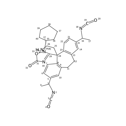 CC(N=C=O)c1ccc2c(c1)CCc1cc(C(C)N=C=O)ccc1C2(C[C@@H](C)N)c1nc(=O)on1C1CCCCC1